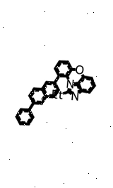 CCc1nc2cccc3c2n1-c1c(cccc1-c1ccc2cc(-c4ccccc4)ccc2c1)O3